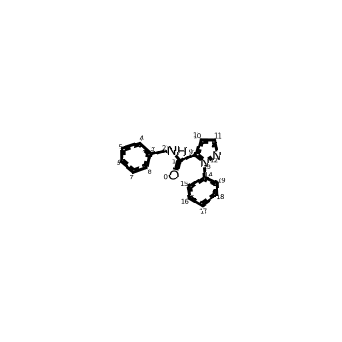 O=C(Nc1ccccc1)c1ccnn1-c1ccccc1